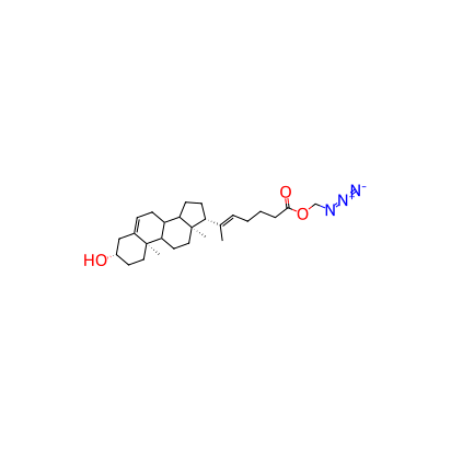 C/C(=C\CCCC(=O)OCN=[N+]=[N-])[C@H]1CCC2C3CC=C4C[C@@H](O)CC[C@]4(C)C3CC[C@@]21C